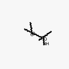 CCCCCCCCCN(C(=O)CCCNC)C(CCC)CCCCCCOC(=O)C(CCCCCC)CCCCCCCC